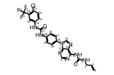 C=CCNC(=O)Nc1ncnc2c1ncn2-c1ccc(NC(=O)Nc2ccc(Cl)c(C(F)(F)F)c2)cc1